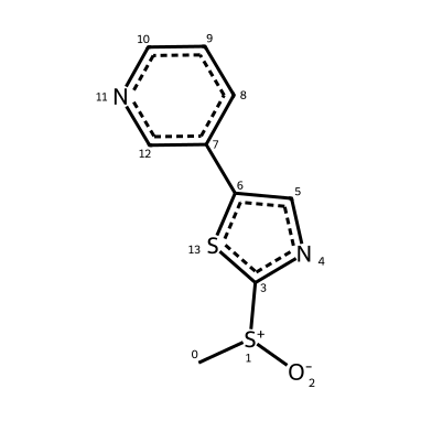 C[S+]([O-])c1ncc(-c2cccnc2)s1